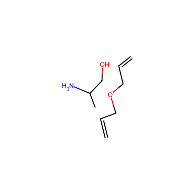 C=CCOCC=C.CC(N)CO